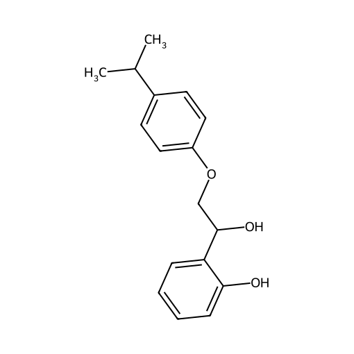 CC(C)c1ccc(OCC(O)c2ccccc2O)cc1